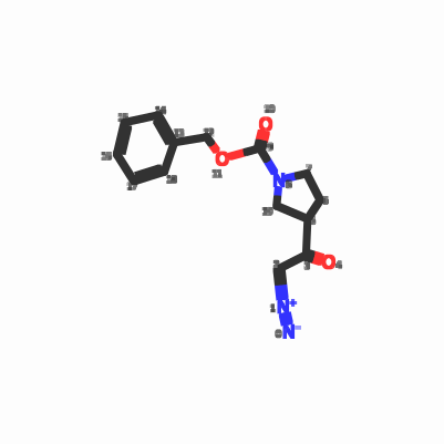 [N-]=[N+]=CC(=O)C1CCN(C(=O)OCc2ccccc2)C1